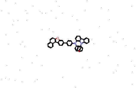 c1ccc(N(c2ccc(-c3ccc4c(c3)oc3ccc5ccccc5c34)cc2)c2cccc3c4ccccc4n(-c4ccccc4)c23)cc1